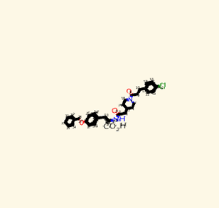 O=C(CC1CCN(C(=O)CCc2ccc(Cl)cc2)CC1)NC(Cc1ccc(OCc2ccccc2)cc1)C(=O)O